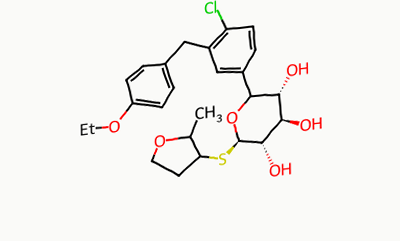 CCOc1ccc(Cc2cc(C3O[C@H](SC4CCOC4C)[C@@H](O)[C@H](O)[C@H]3O)ccc2Cl)cc1